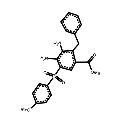 COC(=O)c1cc(S(=O)(=O)c2ccc(OC)cc2)c(N)c([N+](=O)[O-])c1Cc1ccccc1